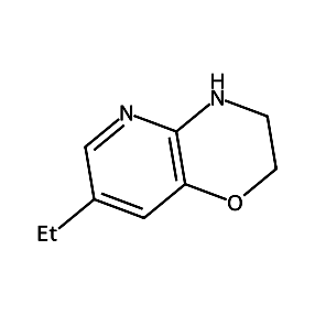 CCc1cnc2c(c1)OCCN2